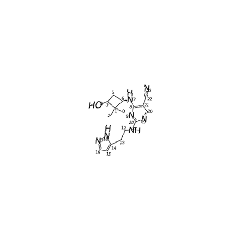 CC1(C)C(O)C[C@H]1Nc1nc(NCCc2ccn[nH]2)ncc1C#N